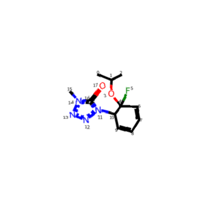 CC(C)OC1(F)C=CC=CC1n1nnn(C)c1=O